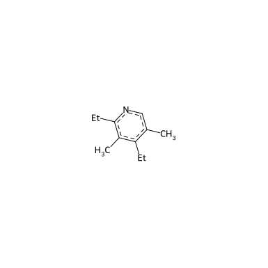 CCc1ncc(C)c(CC)c1C